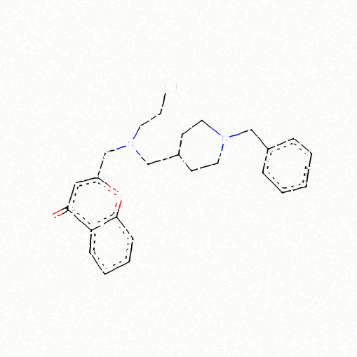 CCCN(Cc1cc(=O)c2ccccc2o1)CC1CCN(Cc2ccccc2)CC1